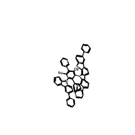 N#Cc1c(-c2ccccc2)c(C#N)c(-n2c3c(ccc4c5ccccc5sc43)c3ccc4c5cc(-c6ccccc6)ccc5sc4c32)c(-c2ccccc2)c1-n1c2ccccc2c2cc(-c3ccccc3)ccc21